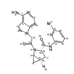 Nc1ncnc2c1cnn2CC(=O)N1C2C[C@@H]2C[C@H]1C(=O)Nc1cccc(Br)n1